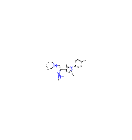 Cc1ccc(-n2c(C)cc(/C(CN3CCCCC3)=N\N(C)C)c2C)cc1